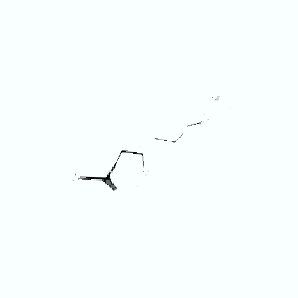 NNCCC[C@@H](CC(N)=O)NO